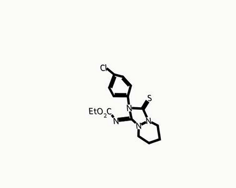 CCOC(=O)N=c1n(-c2ccc(Cl)cc2)c(=S)n2n1CCCC2